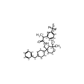 CC(C(=O)NCC1(N2CCN(Cc3ccccc3)CC2)CCOC(C)(C)C1)c1cccc(C(F)(F)F)n1